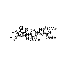 COCc1nc(N2CC[C@@H](NC(=O)c3[nH]c(C)c(Cl)c3Cl)[C@@H](OC)C2)sc1C(=O)OC